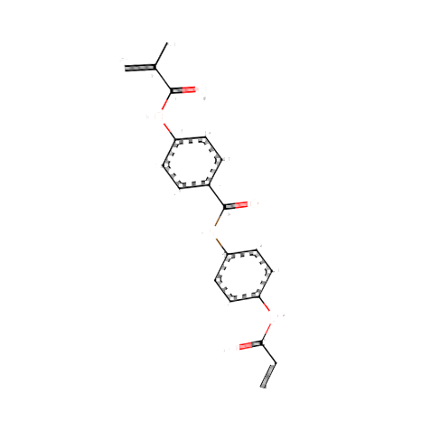 C=CC(=O)Oc1ccc(SC(=O)c2ccc(OC(=O)C(=C)C)cc2)cc1